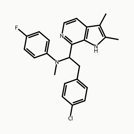 Cc1[nH]c2c(C(Cc3ccc(Cl)cc3)N(C)c3ccc(F)cc3)nccc2c1C